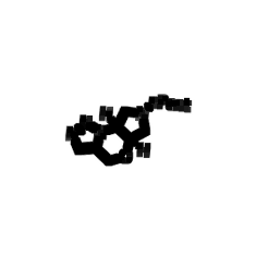 CCCCCN1C[C@@H]2[C@@H](C1)OCc1cnnn12